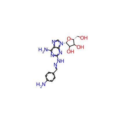 Nc1ccc(C=NNc2nc(N)c3ncn([C@@H]4O[C@H](CO)C(O)C4O)c3n2)cc1